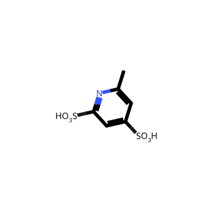 Cc1cc(S(=O)(=O)O)cc(S(=O)(=O)O)n1